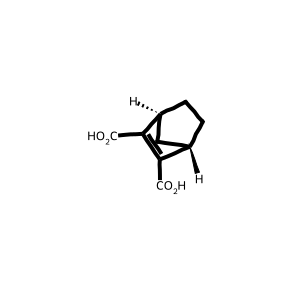 O=C(O)C1=C(C(=O)O)[C@H]2CC[C@H]1C2